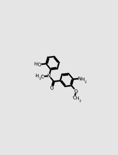 COc1cc(C(=O)N(C)c2ccccc2O)ccc1N